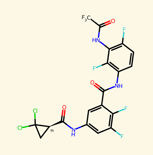 O=C(Nc1ccc(F)c(NC(=O)C(F)(F)F)c1F)c1cc(NC(=O)[C@H]2CC2(Cl)Cl)cc(F)c1F